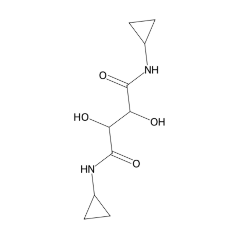 O=C(NC1CC1)C(O)C(O)C(=O)NC1CC1